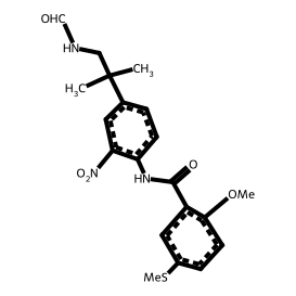 COc1ccc(SC)cc1C(=O)Nc1ccc(C(C)(C)CNC=O)cc1[N+](=O)[O-]